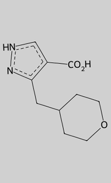 O=C(O)c1c[nH]nc1CC1CCOCC1